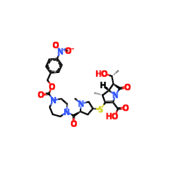 C[C@@H](O)[C@H]1C(=O)N2C(C(=O)O)=C(S[C@H]3C[C@@H](C(=O)N4CCCN(C(=O)OCc5ccc([N+](=O)[O-])cc5)CC4)N(C)C3)[C@H](C)[C@H]12